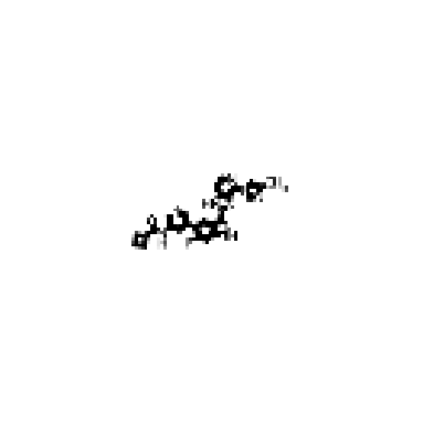 Cc1cn(-c2nccc3[nH]c(-c4n[nH]c5cc(F)c(-c6cncc(NC(=O)C7CCC7)c6)cc45)nc23)cn1